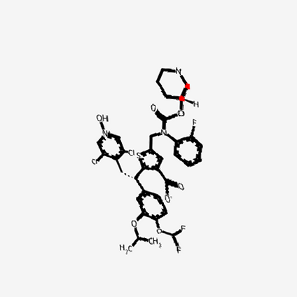 CC(C)Oc1cc([C@H](Cc2c(Cl)c[n+](O)cc2Cl)c2sc(CN(C(=O)O[C@H]3CN4CCC3CC4)c3ccccc3F)cc2C(=O)[O-])ccc1OC(F)F